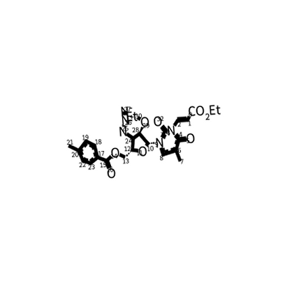 CCOC(=O)/C=C/n1c(=O)c(C)cn([C@@H]2O[C@H](COC(=O)c3ccc(C)cc3)C(N=[N+]=[N-])[C@H]2OCC)c1=O